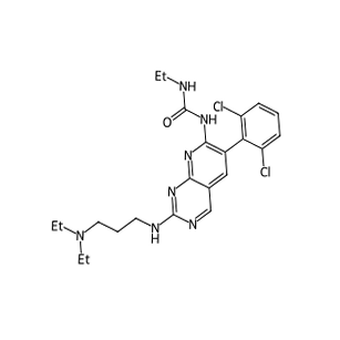 CCNC(=O)Nc1nc2nc(NCCCN(CC)CC)ncc2cc1-c1c(Cl)cccc1Cl